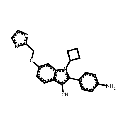 N#Cc1c(-c2ccc(N)cc2)n(C2CCC2)c2cc(OCc3nccs3)ccc12